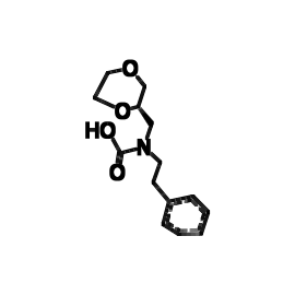 O=C(O)N(CCc1ccccc1)C[C@@H]1COCCO1